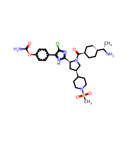 C[C@H](N)[C@H]1CC[C@H](C(=O)N2C[C@@H](C3CCN(S(C)(=O)=O)CC3)C[C@H]2c2nc(Cl)c(-c3ccc(OC(N)=O)cc3)[nH]2)CC1